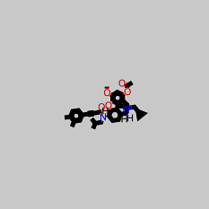 COc1cc(OC(C)=O)c2c3c1O[C@H]1[C@@H](N(CC(C)C)C(=O)C#Cc4ccc(C)c(C)c4)CC[C@H]4[C@@H](C2)N(CC2CC2)CC[C@@]341